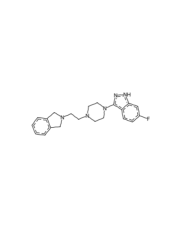 Fc1ccc2c(N3CCN(CCN4Cc5ccccc5C4)CC3)n[nH]c2c1